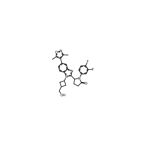 Cc1noc(C)c1-c1ccc2c(c1)nc(C1CCC(=O)N1c1ccc(F)c(F)c1)n2C1CC(CO)C1